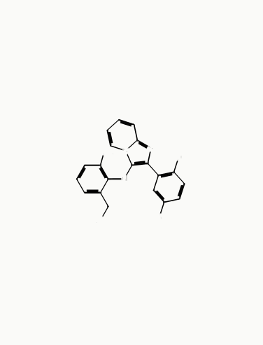 CCc1cccc(C)c1Nc1c(-c2cc(Br)ccc2O)nc2ccccn12